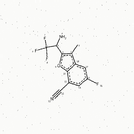 Cc1c(C(N)C(F)(F)F)oc2c(C#N)cc(F)cc12